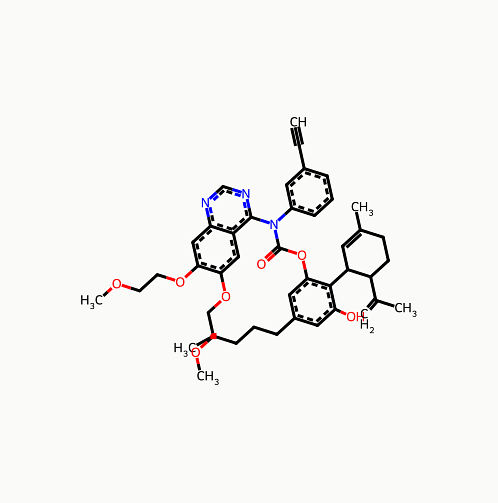 C#Cc1cccc(N(C(=O)Oc2cc(CCCCC)cc(O)c2C2C=C(C)CCC2C(=C)C)c2ncnc3cc(OCCOC)c(OCCOC)cc23)c1